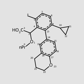 CCCOC(C(=O)O)c1c(C)ccc(C2CC2)c1-c1ccc2c(c1)CCCO2